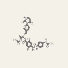 CCC(CC)OC(=O)[C@H](CCc1ccc(-n2c(=O)ccn(C)c2=O)nc1)NC(=O)c1cc(F)c(NS(=O)(=O)c2ccc(NC(=O)C(C)(C)C)cc2)cc1F